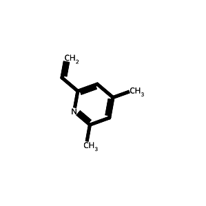 C=Cc1cc(C)cc(C)n1